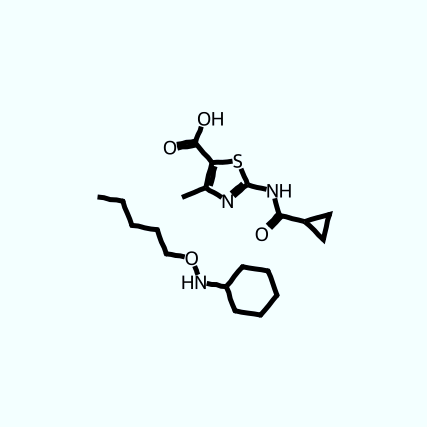 CCCCCONC1CCCCC1.Cc1nc(NC(=O)C2CC2)sc1C(=O)O